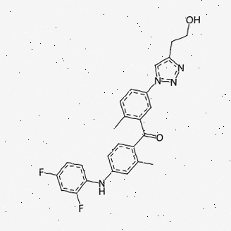 Cc1cc(Nc2ccc(F)cc2F)ccc1C(=O)c1cc(-n2cc(CCO)nn2)ccc1C